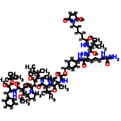 CC[C@H](C)[C@@H]([C@@H](CC(=O)N1CCC[C@H]1[C@H](OC)[C@@H](C)C(=O)N[C@@H](Cc1ccccc1)C(=O)OC(C)(C)C)OC)N(C)C(=O)[C@@H](NC(=O)C(C)(C)NC(=O)OCc1ccc(NC(=O)[C@H](CCCNC(N)=O)NC(=O)[C@@H](NC(=O)CCCCCN2C(=O)C=CC2=O)C(C)C)cc1)C(C)C